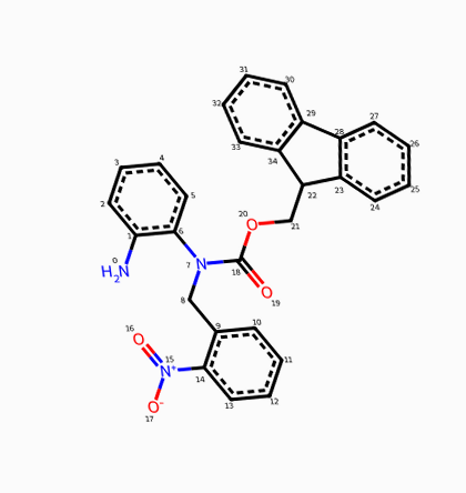 Nc1ccccc1N(Cc1ccccc1[N+](=O)[O-])C(=O)OCC1c2ccccc2-c2ccccc21